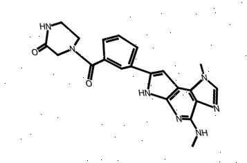 CNc1nc2[nH]c(-c3cccc(C(=O)N4CCNC(=O)C4)c3)cc2c2c1ncn2C